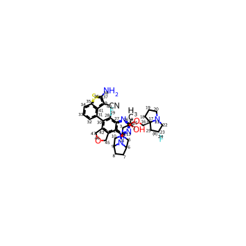 C[C@@H](O)CN1CC2CCC(C1)N2c1nc(OC[C@@]23CCCN2C[C@H](F)C3)nc2c(F)c(-c3cccc4sc(N)c(C#N)c34)c3c(c12)COC3